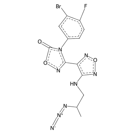 CC(CNc1nonc1-c1noc(=O)n1-c1ccc(F)c(Br)c1)N=[N+]=[N-]